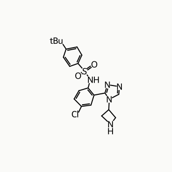 CC(C)(C)c1ccc(S(=O)(=O)Nc2ccc(Cl)cc2-c2nncn2C2CNC2)cc1